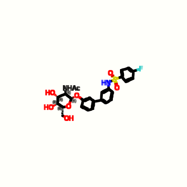 CC(=O)N[C@H]1[C@H](Oc2cccc(-c3cccc(NS(=O)(=O)c4ccc(F)cc4)c3)c2)O[C@H](CO)[C@H](O)[C@@H]1O